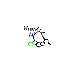 C=CC/C1=C\C(C)C(=C)/C(C(=C)NC)=C(/C)C(N(C)C)CC(C)c2c(Cl)ccc(C)c2C1=C